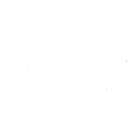 Cc1c(O)c(O)c(O)c(O)c1CCCCCCC[PH](c1ccccc1)(c1ccccc1)c1ccccc1